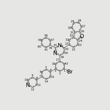 Brc1cc(-c2ccc(-c3ccncc3)cc2)cc(-c2cc(-c3ccc4oc5ccccc5c4c3)nc(-c3ccccc3)n2)c1